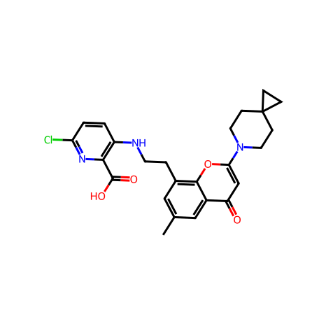 Cc1cc(CCNc2ccc(Cl)nc2C(=O)O)c2oc(N3CCC4(CC3)CC4)cc(=O)c2c1